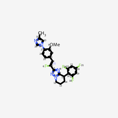 COc1cc(/C=C(\F)c2nc3n(n2)CCCC3c2c(F)cc(F)cc2F)ccc1-n1cnc(C)c1